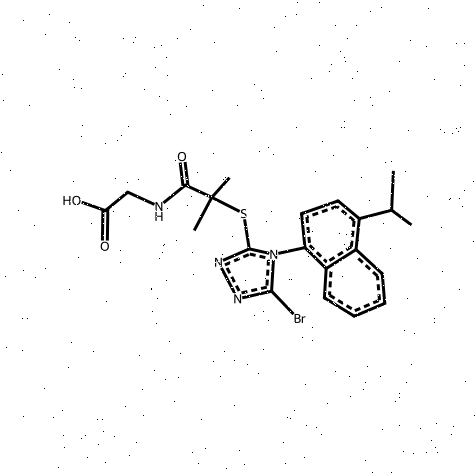 CC(C)c1ccc(-n2c(Br)nnc2SC(C)(C)C(=O)NCC(=O)O)c2ccccc12